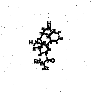 CCN(CC)C(=O)C1C=C2C3=CCCc4[nH]cc(c43)C[C@@]2(N)N(C)C1